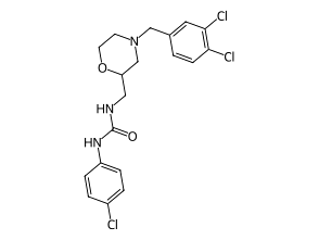 O=C(NCC1CN(Cc2ccc(Cl)c(Cl)c2)CCO1)Nc1ccc(Cl)cc1